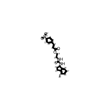 O=C(/C=C/c1ccc([N+](=O)[O-])cc1)OCCNC(=S)NC1CCc2c(F)cccc21